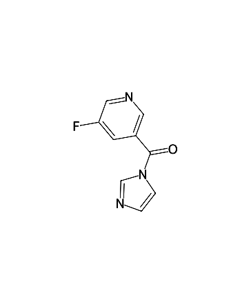 O=C(c1cncc(F)c1)n1ccnc1